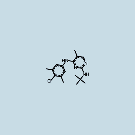 Cc1cnc(NC(C)(C)C)nc1Nc1cc(C)c(Cl)c(C)c1